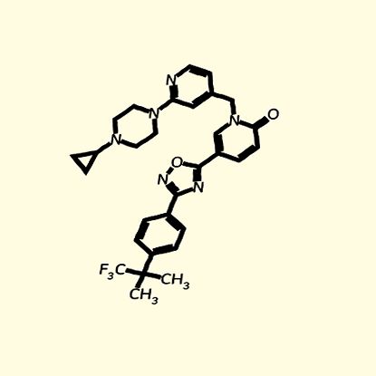 CC(C)(c1ccc(-c2noc(-c3ccc(=O)n(Cc4ccnc(N5CCN(C6CC6)CC5)c4)c3)n2)cc1)C(F)(F)F